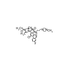 C=CC(=O)N1C[C@H](C)N(c2nc(=O)n3c4c(c(-c5ccc(F)cc5F)c(Cl)cc24)OC[C@@H]3CCCN2CCN(C)CC2)C[C@H]1C